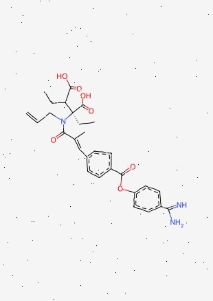 C=CCN(C(=O)/C(C)=C/c1ccc(C(=O)Oc2ccc(C(=N)N)cc2)cc1)[C@](CC)(C(=O)O)C(CC)C(=O)O